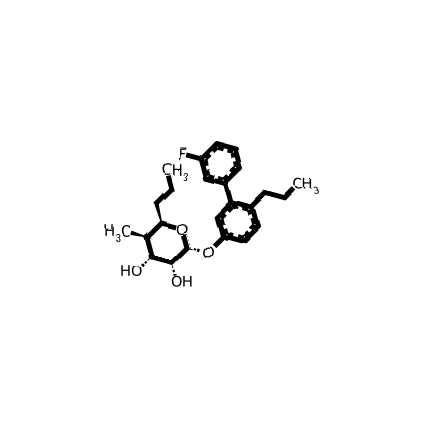 CCCc1ccc(O[C@H]2O[C@H](CCC)[C@H](C)[C@@H](O)[C@H]2O)cc1-c1cccc(F)c1